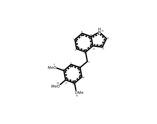 COc1cc(Cc2cccc3[nH]c[c]c23)cc(OC)c1OC